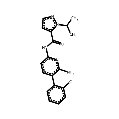 CC(C)n1nccc1C(=O)Nc1ccc(-c2ccccc2Cl)c(N)n1